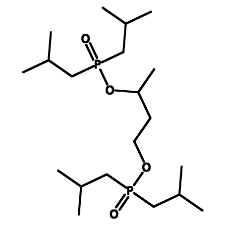 CC(C)CP(=O)(CC(C)C)OCCC(C)OP(=O)(CC(C)C)CC(C)C